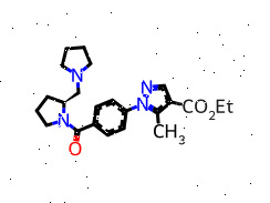 CCOC(=O)c1cnn(-c2ccc(C(=O)N3CCC[C@H]3CN3CCCC3)cc2)c1C